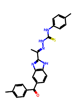 C/C(=N\NC(=S)Nc1ccc(C)cc1)c1nc2cc(C(=O)c3ccc(C)cc3)ccc2[nH]1